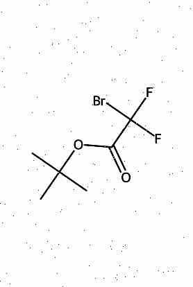 CC(C)(C)OC(=O)C(F)(F)Br